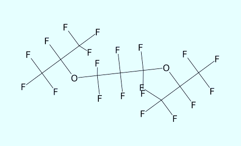 FC(F)(F)C(F)(OC(F)(F)C(F)(F)C(F)(F)OC(F)(C(F)(F)F)C(F)(F)F)C(F)(F)F